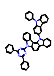 C1=CC2c3ccc4c(c3N(c3ccc5c(c3)c3ccccc3n5-c3ccccc3)C2C=C1)c1ccccc1n4-c1nc(-c2ccccc2)nc(-c2ccccc2)n1